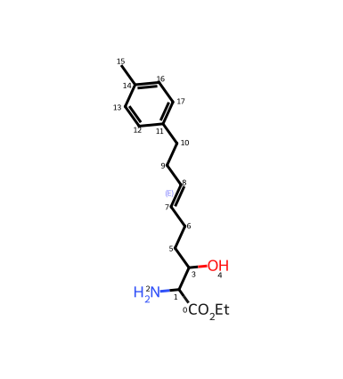 CCOC(=O)C(N)C(O)CC/C=C/CCc1ccc(C)cc1